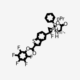 CCCOC(=O)[C@H](C)N[PH]1(Oc2ccccc2)C[C@]1(F)c1ccc2sc(C(=O)Oc3c(F)c(F)c(F)c(F)c3F)cc2c1